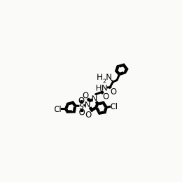 N[C@@H](Cc1ccccc1)C(=O)NC(=O)Cn1c(=O)n(S(=O)(=O)c2ccc(Cl)cc2)c(=O)c2ccc(Cl)cc21